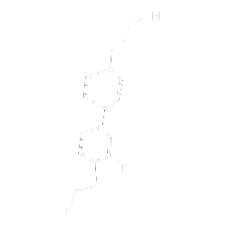 CCCCc1ccc(-c2ccc(OCC)c(F)c2)cc1